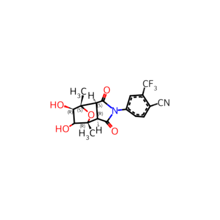 C[C@@]12O[C@@](C)(C(O)[C@H]1O)[C@@H]1C(=O)N(c3ccc(C#N)c(C(F)(F)F)c3)C(=O)[C@@H]12